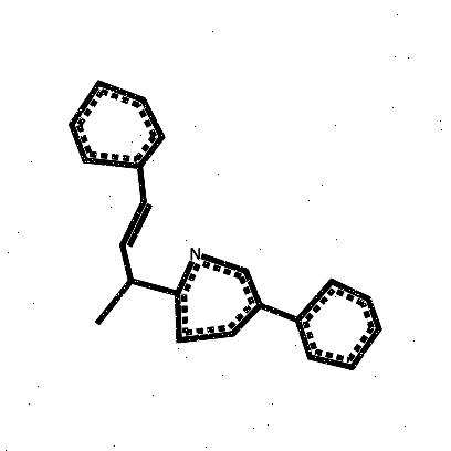 CC(C=Cc1ccccc1)c1ccc(-c2ccccc2)cn1